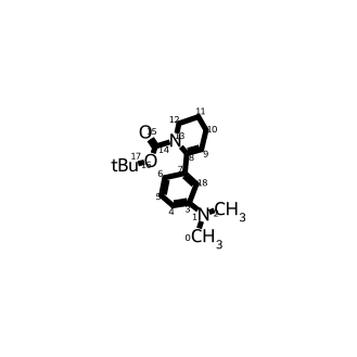 CN(C)c1cccc(C2=CCCCN2C(=O)OC(C)(C)C)c1